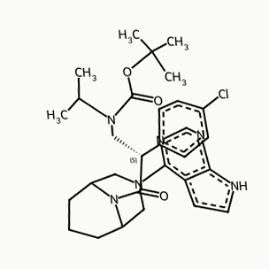 CC(C)N(C[C@@H](C(=O)N1C2CCCC1CN(c1ncnc3[nH]ccc13)C2)c1ccc(Cl)cc1)C(=O)OC(C)(C)C